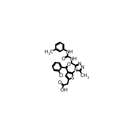 Cc1cccc(NC(=O)NCc2nnc(C)n2-c2sc(CC(=O)O)cc2C(=O)c2ccccc2Cl)c1